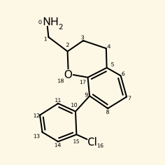 NCC1CCc2cccc(-c3ccccc3Cl)c2O1